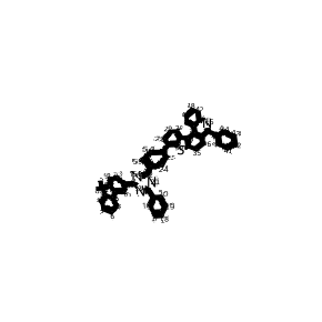 CC1(C)c2ccccc2-c2cc(-c3nc(-c4ccccc4)nc(-c4ccc(-c5cccc6c5sc5ccc7c(-c8ccccc8)nc8ccccc8c7c56)cc4)n3)ccc21